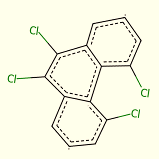 Clc1c(Cl)c2c[c]cc(Cl)c2c2c(Cl)c[c]cc12